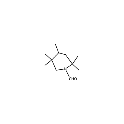 CC1CC(C)(C)N(C=O)CC1(C)C